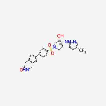 O=C1Cc2ccc(-c3ccc(S(=O)(=O)N4CC[C@@H](Nc5ccc(C(F)(F)F)cn5)[C@@H](O)C4)cc3)cc2CN1